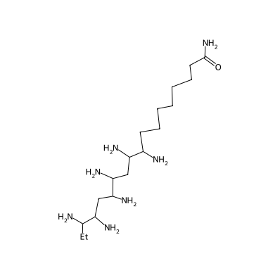 CCC(N)C(N)CC(N)C(N)CC(N)C(N)CCCCCCCC(N)=O